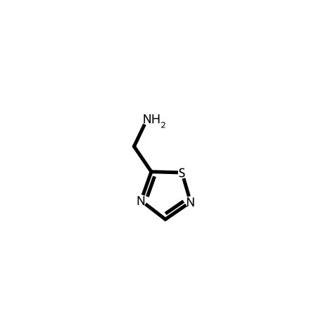 NCc1ncns1